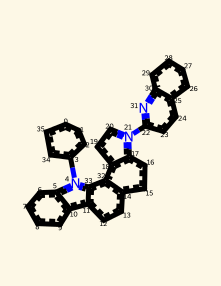 c1ccc(-n2c3ccccc3c3ccc4ccc5c(ccn5-c5ccc6ccccc6n5)c4c32)cc1